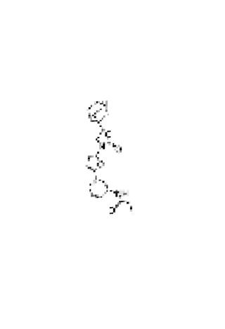 CCC(=O)Nc1cccc(-c2ccc(N3CC(C4CN5CCC4CC5)OC3=O)o2)c1